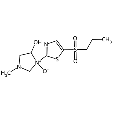 CCCS(=O)(=O)c1cnc([N+]2([O-])CN(C)CC2O)s1